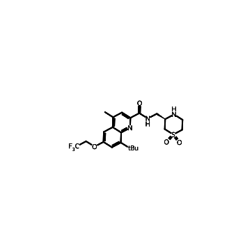 Cc1cc(C(=O)NC[C@@H]2CS(=O)(=O)CCN2)nc2c(C(C)(C)C)cc(OCC(F)(F)F)cc12